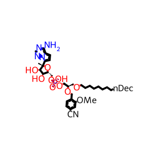 CCCCCCCCCCCCCCCCCCOC[C@H](COP(=O)(O)OC[C@H]1O[C@@](C)(c2ccc3c(N)ncnn23)[C@H](O)[C@@H]1O)OCc1ccc(C#N)cc1OC